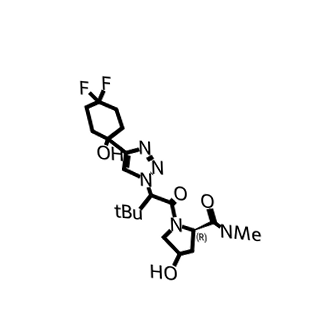 CNC(=O)[C@H]1CC(O)CN1C(=O)C(n1cc(C2(O)CCC(F)(F)CC2)nn1)C(C)(C)C